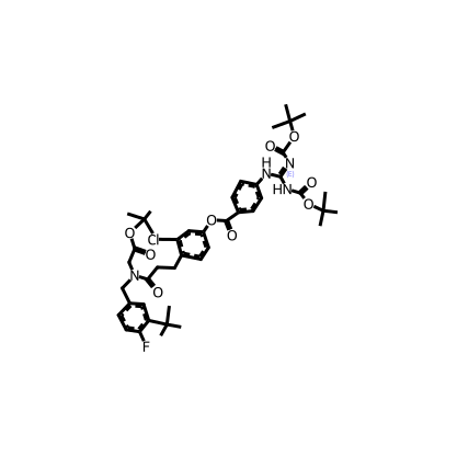 CC(C)(C)OC(=O)CN(Cc1ccc(F)c(C(C)(C)C)c1)C(=O)CCc1ccc(OC(=O)c2ccc(N/C(=N\C(=O)OC(C)(C)C)NC(=O)OC(C)(C)C)cc2)cc1Cl